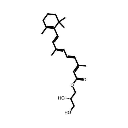 CC(C=CC1=C(C)CCCC1(C)C)=CC=CC(C)=CC(=O)OC[C@@H](O)CO